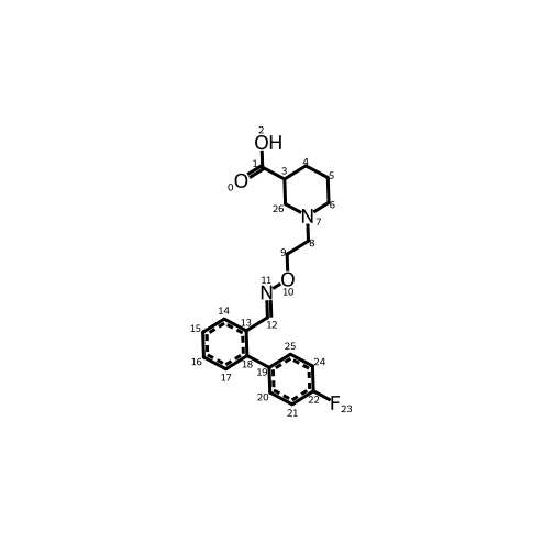 O=C(O)C1CCCN(CCON=Cc2ccccc2-c2ccc(F)cc2)C1